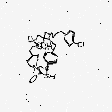 O=C(S)N1CC=C(CS(=O)(=O)CC2(O)CN(Cc3ccc(Cl)cc3)C2Cc2ccc(Cl)cc2)CC1